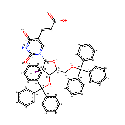 O=C(O)C=Cc1cn([C@@H]2O[C@H](COC(c3ccccc3)(c3ccccc3)c3ccccc3)[C@@H](OC(c3ccccc3)(c3ccccc3)c3ccccc3)[C@H]2I)c(=O)[nH]c1=O